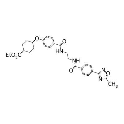 CCOC(=O)[C@H]1CC[C@@H](Oc2ccc(C(=O)NCCNC(=O)c3ccc(-c4noc(C)n4)cc3)cc2)CC1